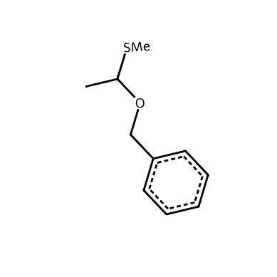 CS[C](C)OCc1ccccc1